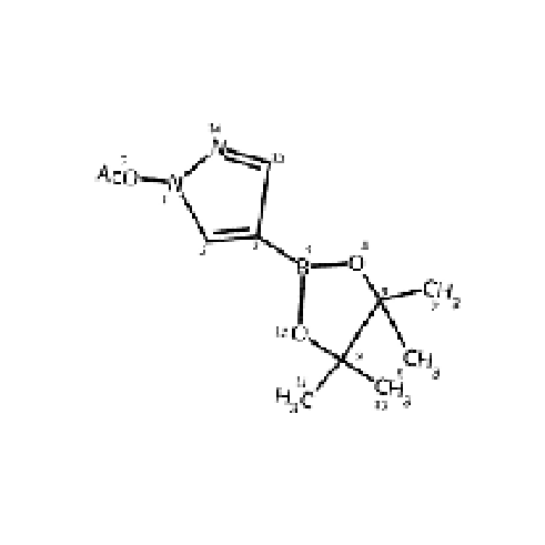 CC(=O)On1cc(B2OC(C)(C)C(C)(C)O2)cn1